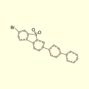 O=S1(=O)c2cc(Br)ccc2-c2ccc(-c3ccc(-c4ccccc4)cc3)cc21